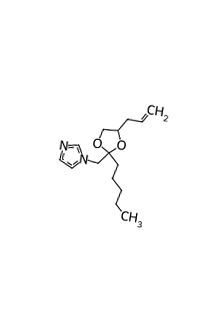 C=CCC1COC(CCCCC)(Cn2ccnc2)O1